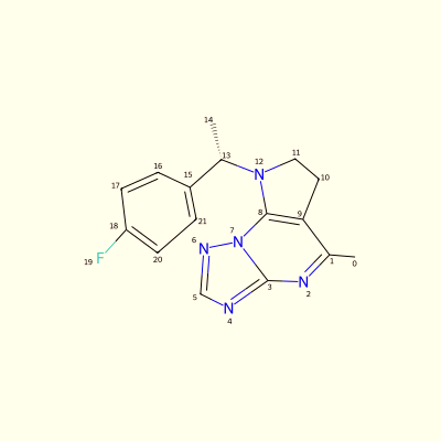 Cc1nc2ncnn2c2c1CCN2[C@@H](C)c1ccc(F)cc1